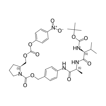 CC(C)[C@H](NC(=O)OC(C)(C)C)C(=O)N[C@@H](C)C(=O)Nc1ccc(COC(=O)N2CCC[C@H]2COC(=O)Oc2ccc([N+](=O)[O-])cc2)cc1